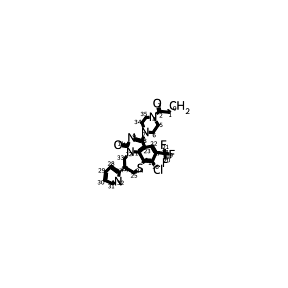 C=CC(=O)N1CCN(c2nc(=O)n3c4c(c(Cl)c(C(F)(F)F)cc24)SC[C@H](c2ccccn2)C3)CC1